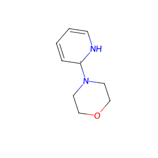 C1=CN[C](N2CCOCC2)C=C1